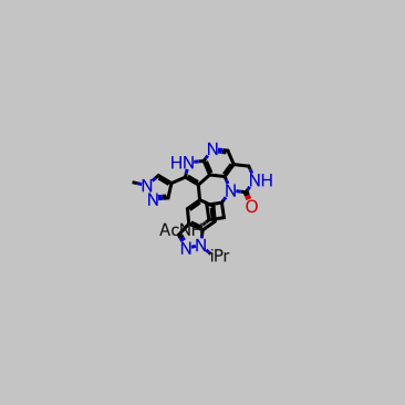 CC(=O)NC1CC(N2C(=O)NCc3cnc4[nH]c(-c5cnn(C)c5)c(-c5ccc6c(cnn6C(C)C)c5)c4c32)C1